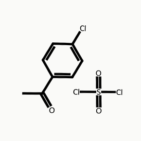 CC(=O)c1ccc(Cl)cc1.O=S(=O)(Cl)Cl